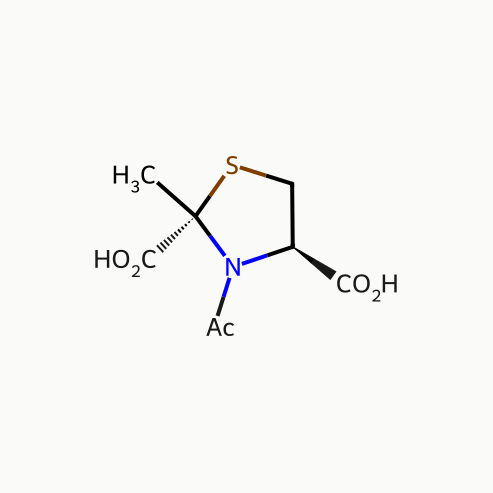 CC(=O)N1[C@H](C(=O)O)CS[C@@]1(C)C(=O)O